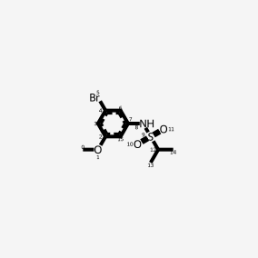 COc1cc(Br)cc(NS(=O)(=O)C(C)C)c1